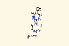 CCc1cnc(N2CCN(CC(C)C)CC2)nc1